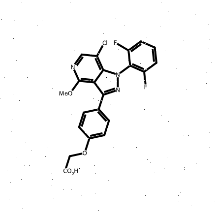 COc1ncc(Cl)c2c1c(-c1ccc(OCC(=O)O)cc1)nn2-c1c(F)cccc1F